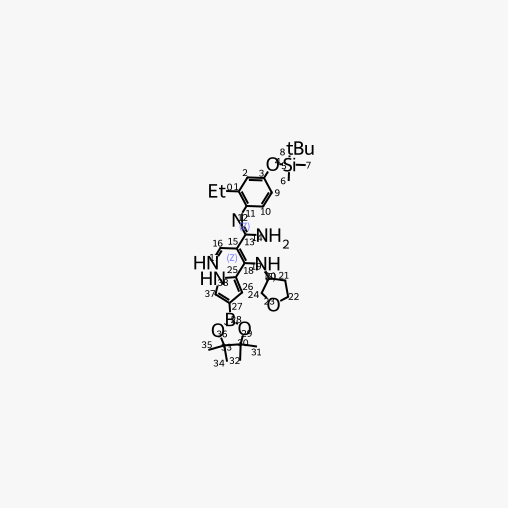 CCc1cc(O[Si](C)(C)C(C)(C)C)ccc1/N=C(N)/C(C=N)=C(\N[C@H]1CCOC1)c1cc(B2OC(C)(C)C(C)(C)O2)c[nH]1